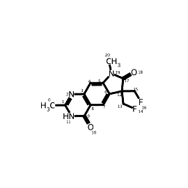 Cc1nc2cc3c(cc2c(=O)[nH]1)C(CF)(CF)C(=O)N3C